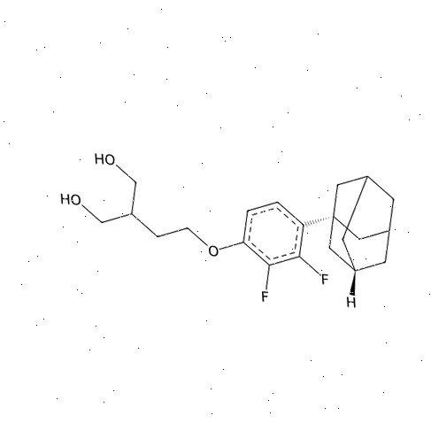 OCC(CO)CCOc1ccc([C@]23CC4CC(C[C@H](C4)C2)C3)c(F)c1F